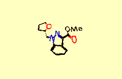 COC(=O)c1nn(C[C@@H]2CCCO2)c2ccccc12